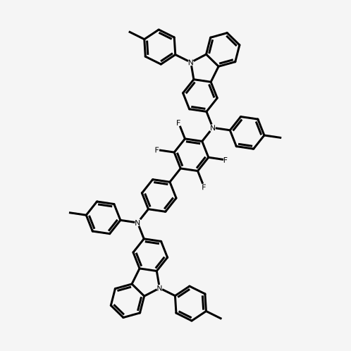 Cc1ccc(N(c2ccc(-c3c(F)c(F)c(N(c4ccc(C)cc4)c4ccc5c(c4)c4ccccc4n5-c4ccc(C)cc4)c(F)c3F)cc2)c2ccc3c(c2)c2ccccc2n3-c2ccc(C)cc2)cc1